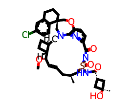 CO[C@H]1/C=C/C[C@H](C)CS(=O)(NC(=O)[C@H]2C[C@](C)(O)C2)=NC(=O)c2ccc3c(n2)N(C[C@@H]2CC[C@H]21)C[C@@]1(CCCc2cc(Cl)ccc21)CO3